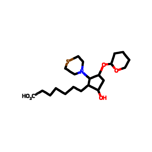 O=C(O)CCCCCCC1C(O)CC(OC2CCCCO2)C1N1CCSCC1